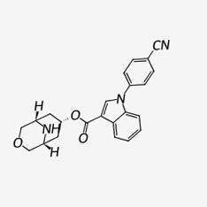 N#Cc1ccc(-n2cc(C(=O)O[C@H]3C[C@H]4COC[C@@H](C3)N4)c3ccccc32)cc1